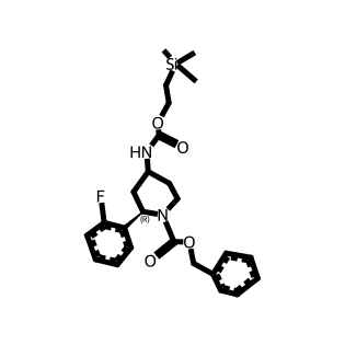 C[Si](C)(C)CCOC(=O)NC1CCN(C(=O)OCc2ccccc2)[C@@H](c2ccccc2F)C1